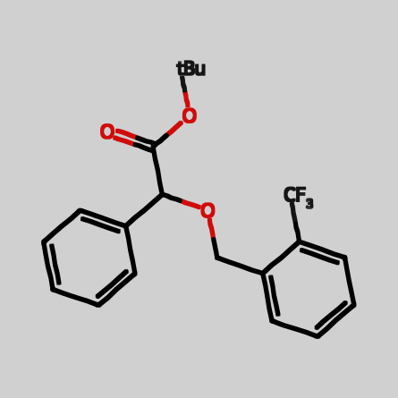 CC(C)(C)OC(=O)C(OCc1ccccc1C(F)(F)F)c1ccccc1